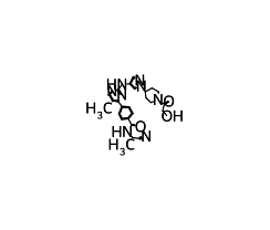 Cc1cnc(Nc2cnn(C3CCN(C(=O)CO)CC3)c2)nc1-c1ccc(C(=O)N[C@@H](C)C#N)cc1